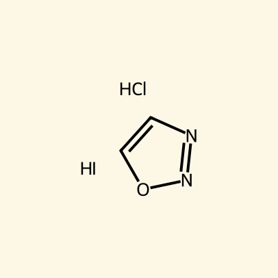 Cl.I.c1conn1